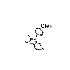 COc1ccc(-c2c(C)[nH]c3ccncc23)cc1